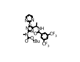 CC(NC(=O)c1cc(C(F)(F)F)cc(C(F)(F)F)c1)c1nc(N(C)C(=O)OC(C)(C)C)nn1-c1ncccn1